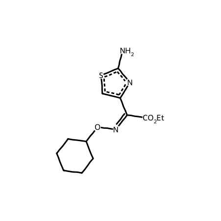 CCOC(=O)/C(=N/OC1CCCCC1)c1csc(N)n1